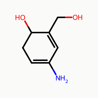 NC1=CCC(O)C(CO)=C1